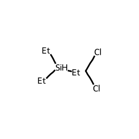 CC[SiH](CC)CC.ClCCl